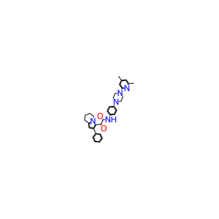 Cc1cc(C)nc(N2CCN(c3ccc(NC(=O)C(=O)c4c(-c5ccccc5)cc5n4CCCC5)cc3)CC2)c1